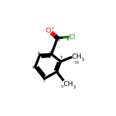 Cc1cccc(C(=O)Cl)c1C